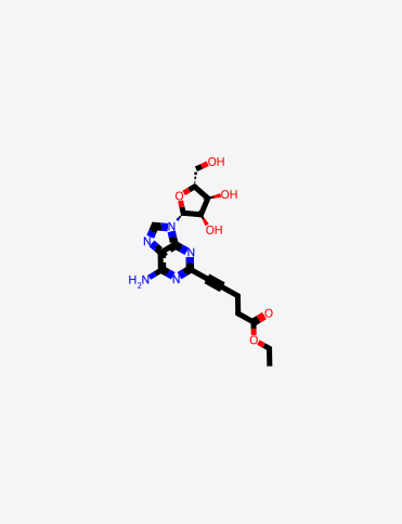 CCOC(=O)CCC#Cc1nc(N)c2ncn([C@@H]3O[C@H](CO)[C@@H](O)[C@H]3O)c2n1